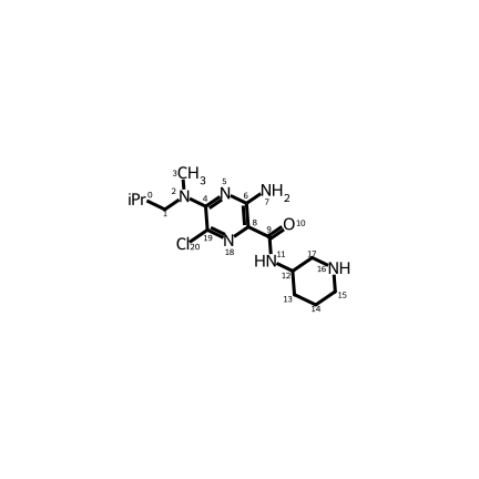 CC(C)CN(C)c1nc(N)c(C(=O)NC2CCCNC2)nc1Cl